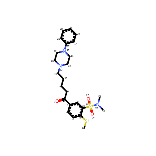 CSc1ccc(C(=O)CCCCN2CCN(c3ccccc3)CC2)cc1S(=O)(=O)N(C)C